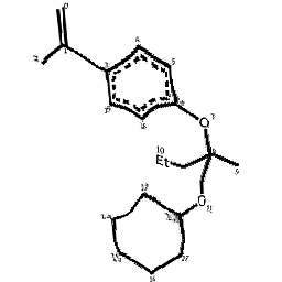 C=C(C)c1ccc(OC(C)(CC)OC2CCCCC2)cc1